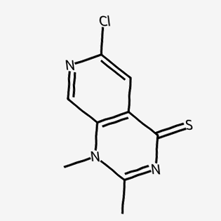 Cc1nc(=S)c2cc(Cl)ncc2n1C